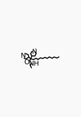 CCCCCCCCCCCCC(C(=O)NCC)(C1CCN(C)CC1)C1CCN(C)CC1